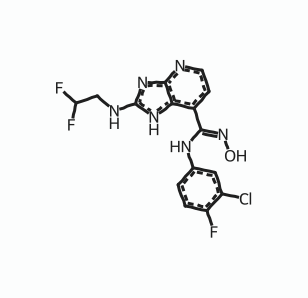 O/N=C(\Nc1ccc(F)c(Cl)c1)c1ccnc2nc(NCC(F)F)[nH]c12